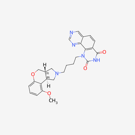 COc1cccc2c1[C@@H]1CN(CCCCn3c(=O)[nH]c(=O)c4ccc5cncnc5c43)C[C@H]1CO2